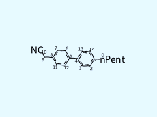 CCCCCc1ccc(-c2ccc(CC#N)cc2)cc1